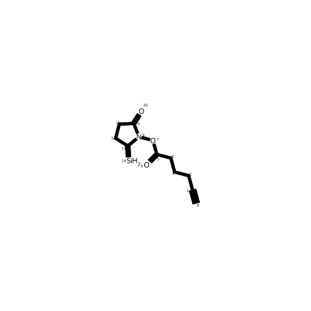 C#CCCCC(=O)ON1C(=O)CCC1=[SiH2]